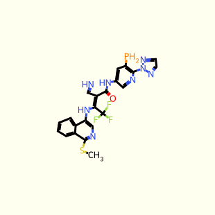 CSc1ncc(N/C(=C(\C=N)C(=O)Nc2cnc(-n3nccn3)c(P)c2)C(F)(F)F)c2ccccc12